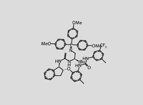 C=C(N[C@@H]1c2ccccc2C[C@H]1Oc1ccc(C)cc1NC(=O)Nc1cc(C)cc(C(F)(F)F)c1)N[C@@H](CN=P(c1ccc(OC)cc1)(c1ccc(OC)cc1)c1ccc(OC)cc1)C(C)(C)C